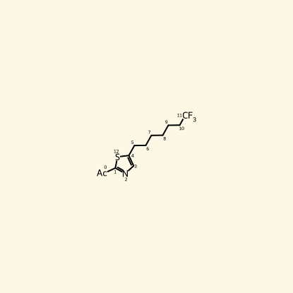 CC(=O)c1ncc(CCCCCCC(F)(F)F)s1